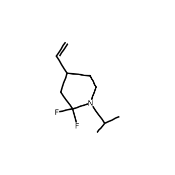 C=CC1CCN(C(C)C)C(F)(F)C1